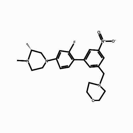 C[C@@H]1CN(c2ccc(-c3cc(CN4CCOCC4)cc([N+](=O)[O-])c3)c(F)c2)CCN1C